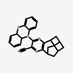 N#Cc1nc2c(nc1N1c3ccccc3SC3C=CC=CC31)C1CC3CC4CC2CC431